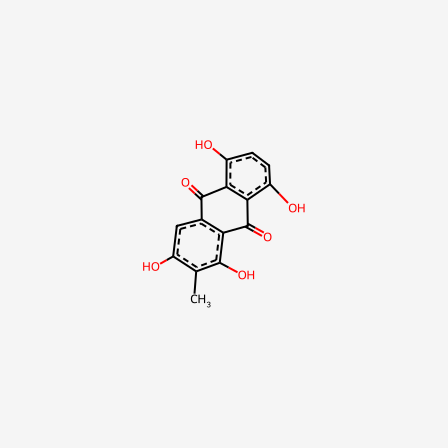 Cc1c(O)cc2c(c1O)C(=O)c1c(O)ccc(O)c1C2=O